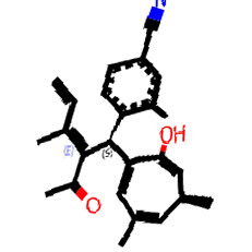 C=C/C(C)=C(/C(C)=O)[C@H](C1=CC(C)=CC(=C)C=C1O)c1ccc(C#N)cc1C